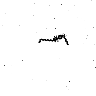 CCCCCC[C@@H](C)Oc1ccc(-c2ncc(CCCCCCCC[C@@H](C)CC)cn2)cc1